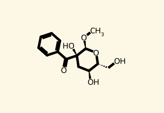 CO[C@H]1O[C@H](CO)[C@@H](O)C[C@]1(O)C(=O)c1ccccc1